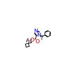 CC(=O)C1(COC(=O)c2cncn2[C@H](C)c2ccccc2)CCC1